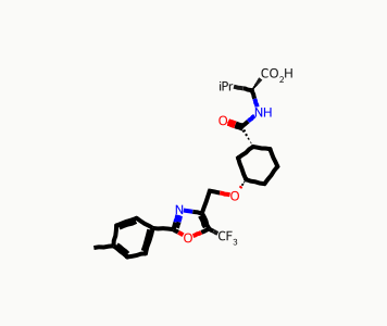 Cc1ccc(-c2nc(CO[C@H]3CCC[C@@H](C(=O)N[C@H](C(=O)O)C(C)C)C3)c(C(F)(F)F)o2)cc1